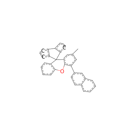 Cc1cc(-c2ccc3ccccc3c2)c2c(c1)C1(c3ccccc3O2)c2ccccc2-c2ccccc21